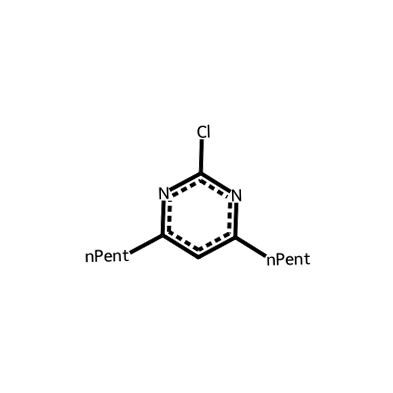 CCCCCc1cc(CCCCC)nc(Cl)n1